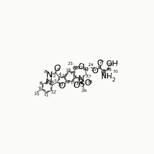 CNC(=O)c1c(-c2ccc(C)cc2)oc2cc3c(cc12)[C@H](C)O[C@H](COC(=O)[C@@H](N)[C@@H](C)O)CN3S(C)(=O)=O